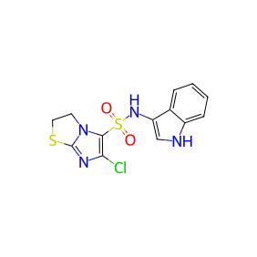 O=S(=O)(Nc1c[nH]c2ccccc12)c1c(Cl)nc2n1CCS2